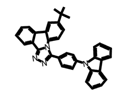 CC(C)(C)c1ccc2c(c1)c1ccccc1c1nnc(-c3ccc(-n4c5ccccc5c5ccccc54)cc3)n21